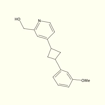 COc1cccc(C2CC(c3ccnc(CO)c3)C2)c1